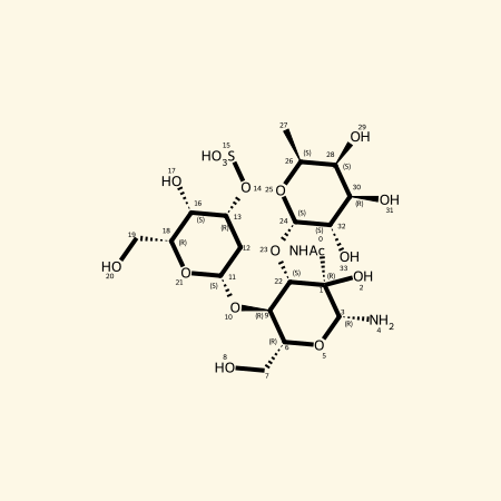 CC(=O)N[C@]1(O)[C@H](N)O[C@H](CO)[C@@H](O[C@H]2C[C@@H](OS(=O)(=O)O)[C@@H](O)[C@@H](CO)O2)[C@@H]1O[C@@H]1O[C@@H](C)[C@@H](O)[C@@H](O)[C@@H]1O